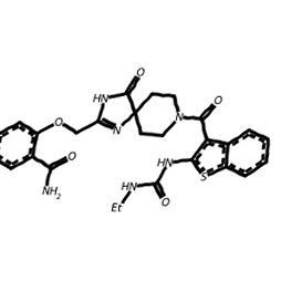 CCNC(=O)Nc1sc2ccccc2c1C(=O)N1CCC2(CC1)N=C(COc1ccccc1C(N)=O)NC2=O